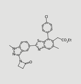 CCOC(=O)Cc1c(C)cc2nc(-c3ccc4c(c3)c(N3CCC3=O)nn4C)sc2c1-c1ccc(Cl)cc1